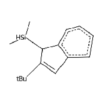 C[SiH](C)[C]1C(C(C)(C)C)=Cc2ccccc21